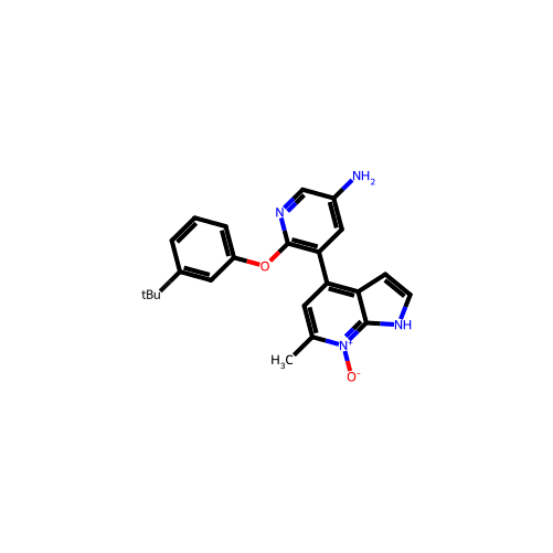 Cc1cc(-c2cc(N)cnc2Oc2cccc(C(C)(C)C)c2)c2cc[nH]c2[n+]1[O-]